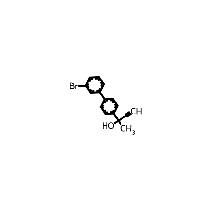 C#CC(C)(O)c1ccc(-c2cccc(Br)c2)cc1